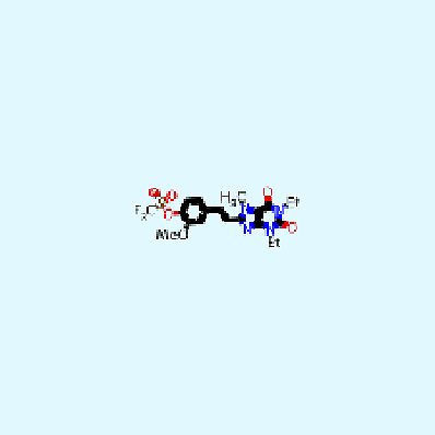 CCn1c(=O)c2c(nc(C=Cc3ccc(OS(=O)(=O)C(F)(F)F)c(OC)c3)n2C)n(CC)c1=O